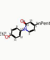 CCCCCc1ccn(-c2ccc(OCC)cc2)c(=O)c1